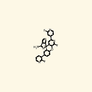 NC1=N[C@]2(c3cc(-c4cccnc4F)ccc3Oc3c2cc(-c2ccnc(F)c2)nc3F)c2cnccc21